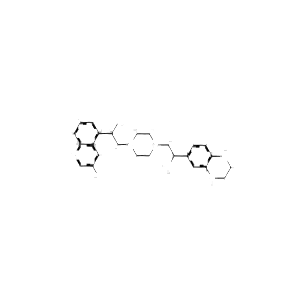 CCc1cnc2cccc(C(C)CN3CCN(CC(O)c4ccc5c(c4)OCCO5)CC3)c2c1